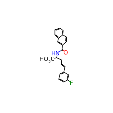 O=C(NC(CC=Cc1cccc(F)c1)C(=O)O)c1ccc2ccccc2c1